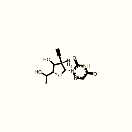 C#C[C@@]1(N)C(O)[C@@H]([C@@H](C)O)O[C@H]1n1ncc(=O)[nH]c1=O